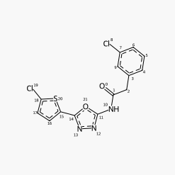 O=C(Cc1cccc(Cl)c1)Nc1nnc(-c2ccc(Cl)s2)o1